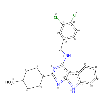 O=C(O)C1CCC(c2nc(NCc3ccc(Cl)c(Cl)c3)c3c(n2)[nH]c2ccccc23)CC1